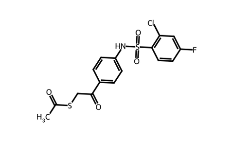 CC(=O)SCC(=O)c1ccc(NS(=O)(=O)c2ccc(F)cc2Cl)cc1